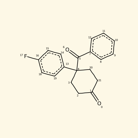 O=C1CCC(C(=O)c2ccccc2)(c2ccc(F)cc2)CC1